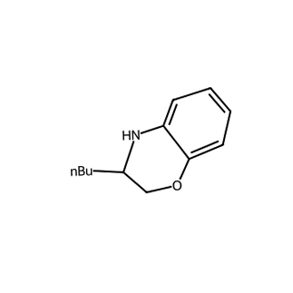 CCCCC1COc2ccccc2N1